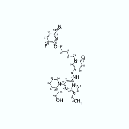 CCc1cnn2c(NCc3ccc(=O)n(CCCCCOc4nc(C#N)ccc4F)c3)cc(N3CCCC[C@H]3CCO)nc12